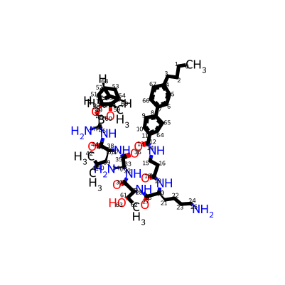 CCCCc1ccc(-c2ccc(C(=O)NCCC(=O)N[C@@H](CCCCN)C(=O)N[C@H](C(=O)N[C@@H](N)C(=O)N[C@@H](CC(C)C)C(=O)N[C@@H](N)B3OC4C[C@@H]5C[C@@H](C5(C)C)[C@]4(C)O3)C(C)O)cc2)cc1